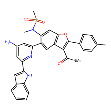 CNC(=O)c1c(-c2ccc(C)cc2)oc2cc(N(C)S(C)(=O)=O)c(-c3cc(N)cc(-c4cc5ccccc5[nH]4)n3)cc12